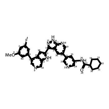 COc1cc(F)cc(-c2cncc3[nH]c(-c4n[nH]c5ncc(-c6cncc(NC(=O)C7CCCCC7)c6)cc45)cc23)c1